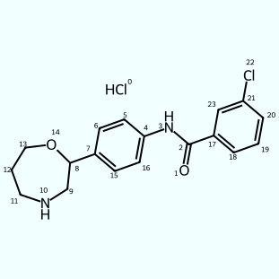 Cl.O=C(Nc1ccc(C2CNCCCO2)cc1)c1cccc(Cl)c1